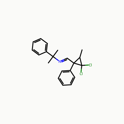 CC1C(Cl)(Cl)C1(C=NC(C)(C)c1ccccc1)c1ccccc1